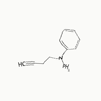 C#CCCN(P)c1ccccc1